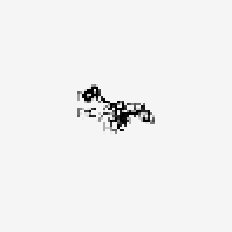 CCOC(=O)c1[nH]c2c(-c3c(CC[C@@H](O)N4CCOCC4)nn(C)c3CC)c(Cl)ccc2c1CCCOc1cccc2cc(F)ccc12